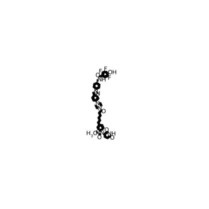 Cn1c(=O)n(C2CCC(=O)NC2=O)c2ccc(CCCCCC(=O)N3CCN(c4ccc5cn([C@H]6CC[C@H](CNC(=O)c7cc(F)c(O)c(F)c7F)CC6)nc5c4)CC3)cc21